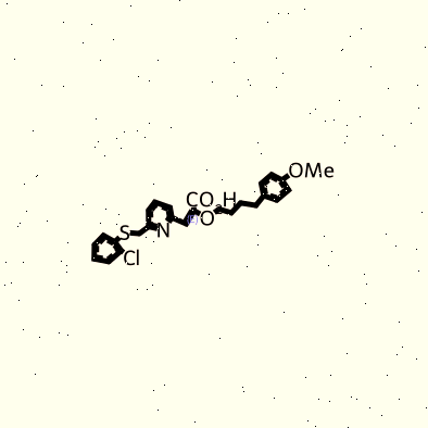 COc1ccc(CCCCO/C(=C/c2cccc(CSc3ccccc3Cl)n2)C(=O)O)cc1